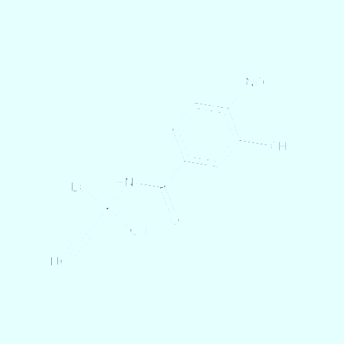 C#CC(C)(CC)NC(=O)c1ccc([N+](=O)[O-])c(C)c1